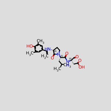 C=C(N[C@@H]1CCN([C@@H](CC(C)C)C(=O)N[C@H](C=O)CC(=O)O)C1=O)c1cc(C)c(O)c(C)c1